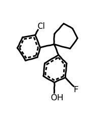 Oc1ccc(C2(c3ccccc3Cl)CCCCC2)cc1F